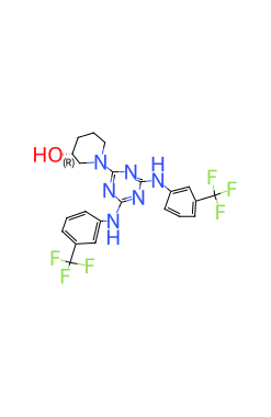 O[C@@H]1CCCN(c2nc(Nc3cccc(C(F)(F)F)c3)nc(Nc3cccc(C(F)(F)F)c3)n2)C1